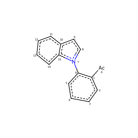 CC(=O)c1ccccc1-n1c[c]c2ccccc21